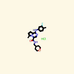 Cc1ccc(Nc2ncc(C(=O)NCC3CCOCC3)n3c(C)ccc23)cc1F.Cl